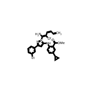 C=C/C=C\C(=C(/N)n1nc(-c2cccc(CC)c2)cc1Nc1ccc(C2CC2)cc1C(=O)OC)C(F)(F)F